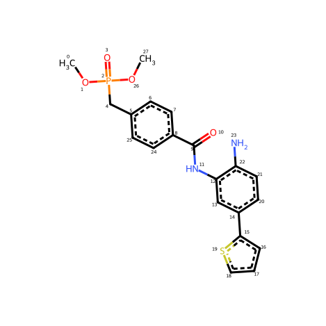 COP(=O)(Cc1ccc(C(=O)Nc2cc(-c3cccs3)ccc2N)cc1)OC